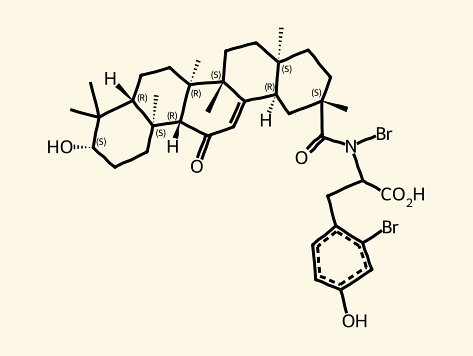 CC1(C)[C@@H](O)CC[C@]2(C)[C@H]3C(=O)C=C4[C@@H]5C[C@@](C)(C(=O)N(Br)C(Cc6ccc(O)cc6Br)C(=O)O)CC[C@]5(C)CC[C@@]4(C)[C@]3(C)CC[C@@H]12